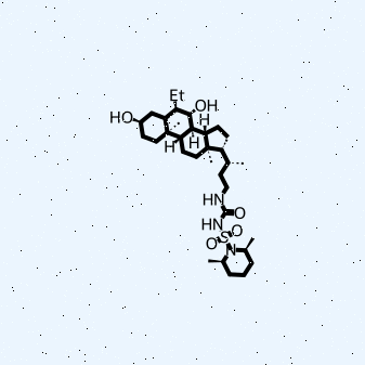 CC[C@@H]1C2C[C@H](O)CC[C@]2(C)[C@H]2CC[C@]3(C)[C@@H]([C@H](C)CCNC(=O)NS(=O)(=O)N4[C@H](C)CCC[C@@H]4C)CC[C@H]3[C@@H]2[C@@H]1O